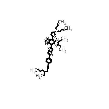 CCCCC(CC)CC#Cc1ccc(-c2cc3sc(-c4c5nsnc5c(-c5ccc(N(CCCC)CCCC)s5)c5nc(CC)c(CC)nc45)cc3s2)cc1